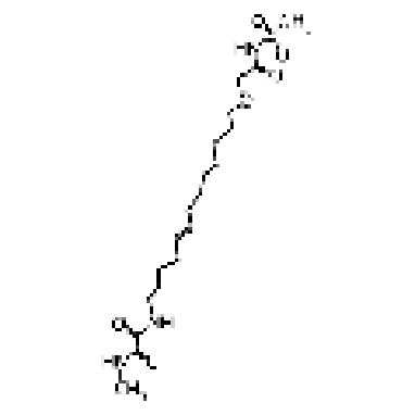 CNC(=O)C(=O)NCCCCC=CCCCCCCCOCC(=O)NS(C)(=O)=O